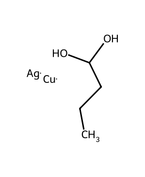 CCCC(O)O.[Ag].[Cu]